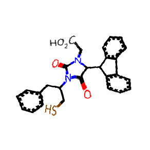 O=C(O)CN1C(=O)N(C(CS)Cc2ccccc2)C(=O)C1C1c2ccccc2-c2ccccc21